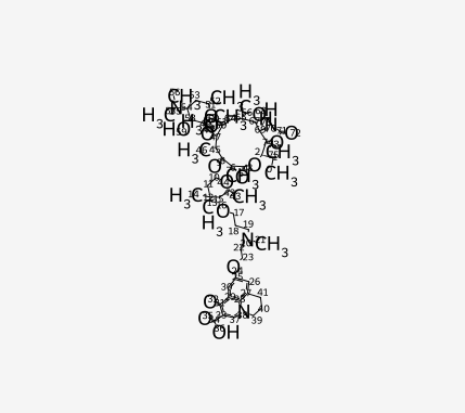 CC[C@H]1OC(=O)[C@H](C)[C@@H](O[C@H]2CC(C)(C)[C@@H](OCCCN(C)CCOc3cc4c5c(c3)c(=O)c(C(=O)O)cn5CCC4)[C@H](C)O2)[C@H](C)[C@@H](O[C@@H]2O[C@H](C)C[C@H](N(C)C)[C@H]2O)[C@](C)(OC)C[C@@H](C)C(=O)[C@H]2NC(=O)O[C@@]21C